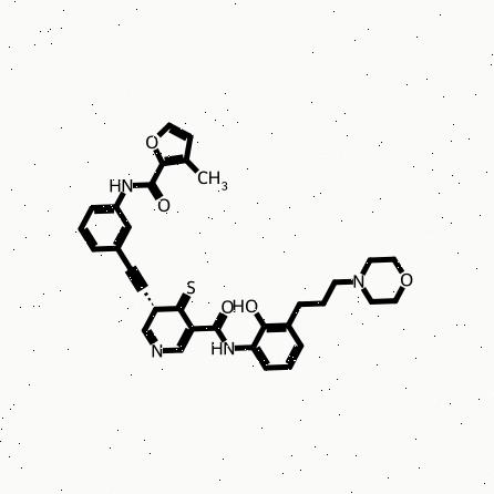 Cc1ccoc1C(=O)Nc1cccc(C#C[C@H]2C=NC=C(C(=O)Nc3cccc(CCCN4CCOCC4)c3O)C2=S)c1